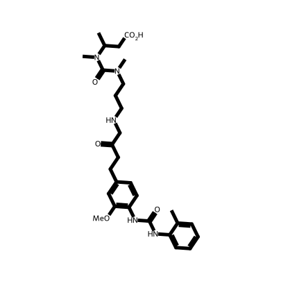 COc1cc(CCC(=O)CNCCCN(C)C(=O)N(C)C(C)CC(=O)O)ccc1NC(=O)Nc1ccccc1C